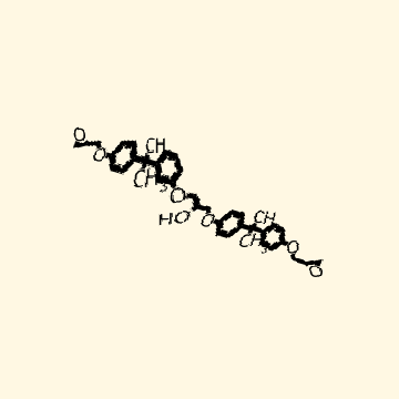 CC(C)(c1ccc(OCC(O)COc2cccc(C(C)(C)c3ccc(OCC4CO4)cc3)c2)cc1)c1ccc(OCC2CO2)cc1